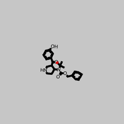 CC(C)(C)N(C(=O)OCc1ccccc1)C1CCNCC1C(=O)c1cccc(O)c1